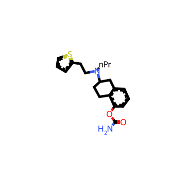 CCCN(CCc1cccs1)C1CCc2c(cccc2OC(N)=O)C1